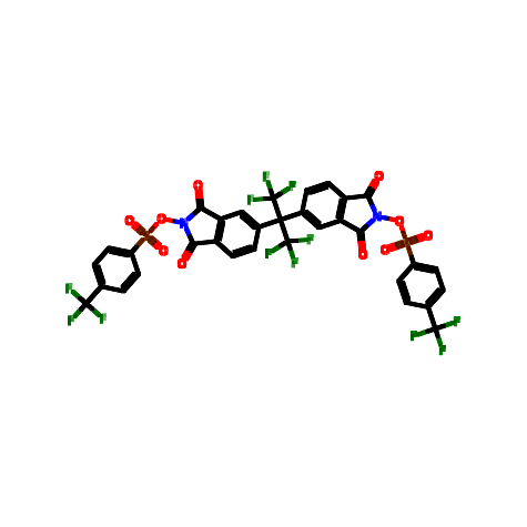 O=C1c2ccc(C(c3ccc4c(c3)C(=O)N(OS(=O)(=O)c3ccc(C(F)(F)F)cc3)C4=O)(C(F)(F)F)C(F)(F)F)cc2C(=O)N1OS(=O)(=O)c1ccc(C(F)(F)F)cc1